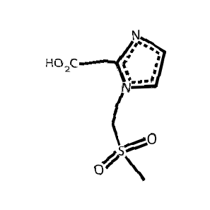 CS(=O)(=O)Cn1ccnc1C(=O)O